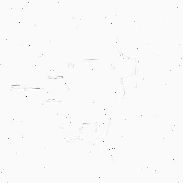 C#Cc1cc2cc(c1)-c1cnn3c1NC(C=C3)OC[C@@H]1C[C@@H](OCC)C(=O)N1CCN2